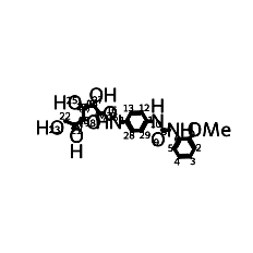 COc1ccccc1NC(=O)Nc1ccc(NO[C@H]2O[C@H]([C@@H](O)CO)[C@H](O)[C@@H]2O)cc1